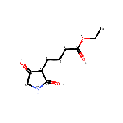 CCOC(=O)CCCC1C(=O)CNC1=O